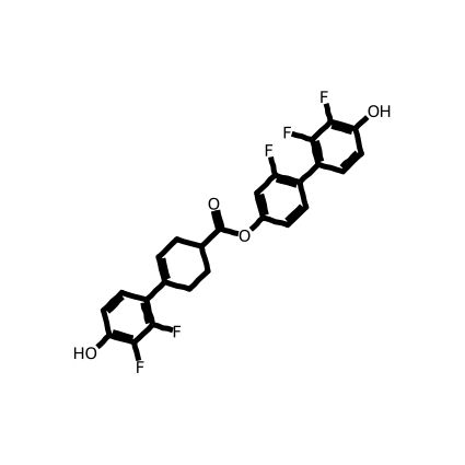 O=C(Oc1ccc(-c2ccc(O)c(F)c2F)c(F)c1)C1CC=C(c2ccc(O)c(F)c2F)CC1